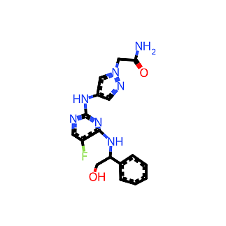 NC(=O)Cn1cc(Nc2ncc(F)c(NC(CO)c3ccccc3)n2)cn1